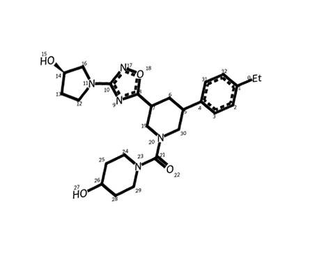 CCc1ccc(C2CC(c3nc(N4CC[C@@H](O)C4)no3)CN(C(=O)N3CCC(O)CC3)C2)cc1